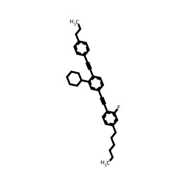 CCCCCCc1ccc(C#Cc2ccc(C#Cc3ccc(CCC)cc3)c(C3CCCCC3)c2)c(F)c1